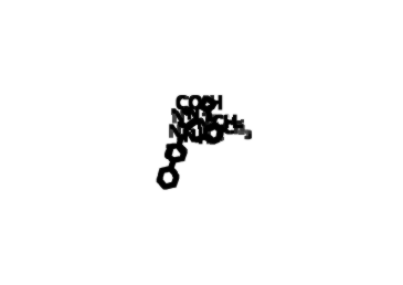 C[C@@H](Nc1nc(C(=O)O)nc2nc(-c3ccc(C4CCCCC4)cc3)n(Cc3ccc(C(F)(F)F)cc3)c12)C1CCC1